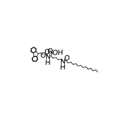 CCCCCCCCCCCCCC(=O)NCCCCC(NC(=O)OCC1c2ccccc2-c2ccccc21)C(=O)O